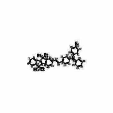 CCC1(CC)C2=C(c3ccccc31)C(CC)(CC)c1cc(/C=C/c3ccc(N(c4ccccc4)c4ccc(F)cc4)cc3)ccc12